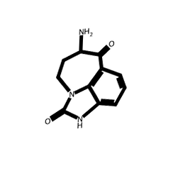 NC1CCn2c(=O)[nH]c3cccc(c32)C1=O